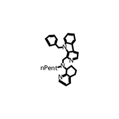 CCCCCN(Cc1nccc2c3ccccc3n(Cc3ccccc3)c12)C1CCCc2cccnc21